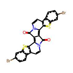 O=C1C2=C3c4sc5cc(Br)ccc5c4C=CN3C(=O)C2=C2c3sc4cc(Br)ccc4c3C=CN12